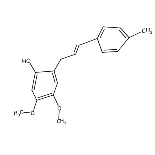 COc1cc(O)c(C/C=C/c2ccc(C)cc2)cc1OC